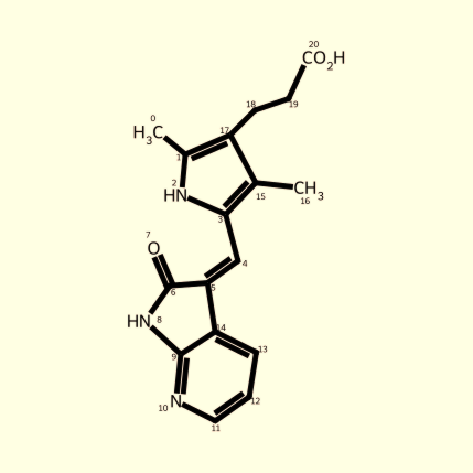 Cc1[nH]c(/C=C2\C(=O)Nc3ncccc32)c(C)c1CCC(=O)O